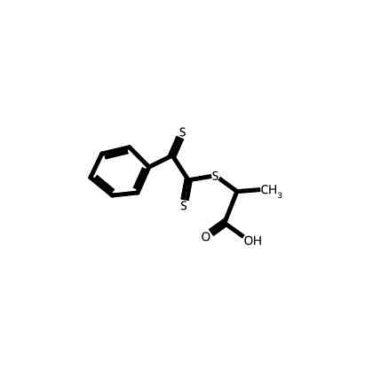 CC(SC(=S)C(=S)c1ccccc1)C(=O)O